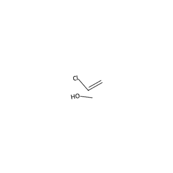 C=CCl.CO